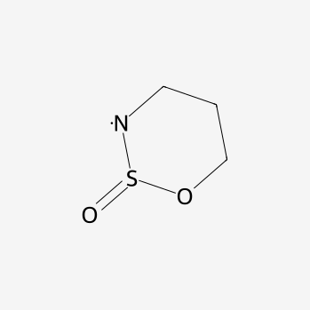 O=S1[N]CCCO1